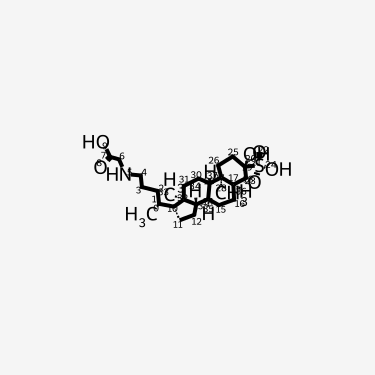 C[C@H](CCCNCC(=O)O)[C@H]1CC[C@H]2[C@@H]3CC[C@@H]4C[C@@](O)(S(=O)(=O)O)CC[C@]4(C)[C@H]3CC[C@]12C